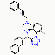 Cc1cccc(C)c1-n1nnnc1[C@@H](c1ccc2ccccc2c1)N1CCN(C/C=C/c2ccccc2)CC1